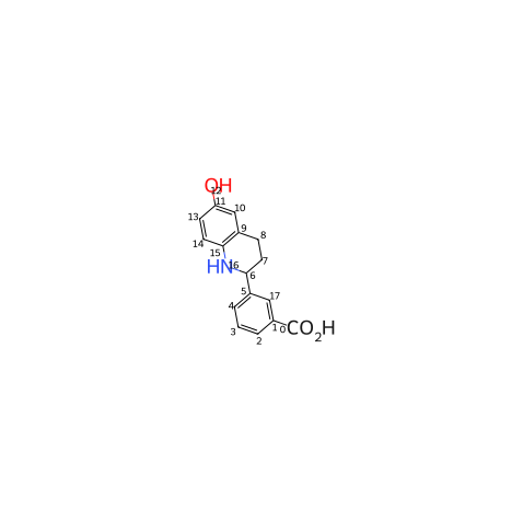 O=C(O)c1cccc(C2CCc3cc(O)ccc3N2)c1